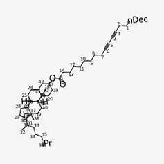 CCCCCCCCCCCCC#CC#CCCCCCCCCC(=O)O[C@H]1CC[C@@]2(C)C(=CC[C@H]3[C@@H]4CC[C@H]([C@H](C)CCCC(C)C)[C@@]4(C)CC[C@@H]32)C1